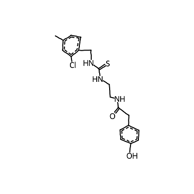 Cc1ccc(CNC(=S)NCCNC(=O)Cc2ccc(O)cc2)c(Cl)c1